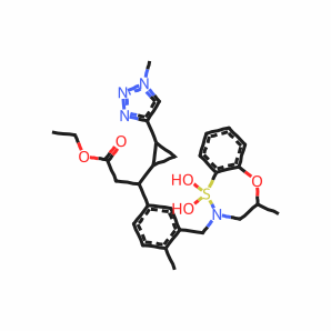 CCOC(=O)CC(c1ccc(C)c(CN2CC(C)Oc3ccccc3S2(O)O)c1)C1CC1c1cn(C)nn1